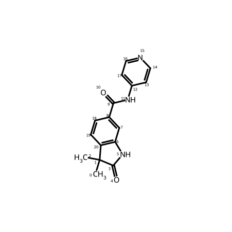 CC1(C)C(=O)Nc2cc(C(=O)Nc3ccncc3)ccc21